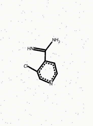 N=C(N)c1ccncc1Cl